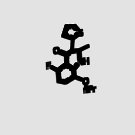 CCCOc1ccc(F)c2c(=O)c(-c3cccs3)c(C)[nH]c12